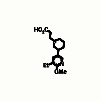 CCc1cc(C2CCCN(CCC(=O)O)C2)cnc1OC